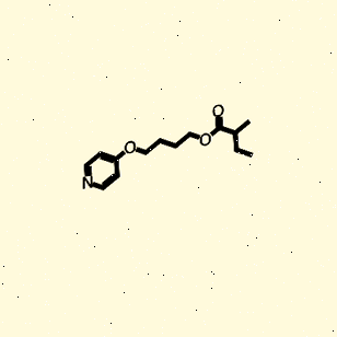 CCC(C)C(=O)OCCCCOc1ccncc1